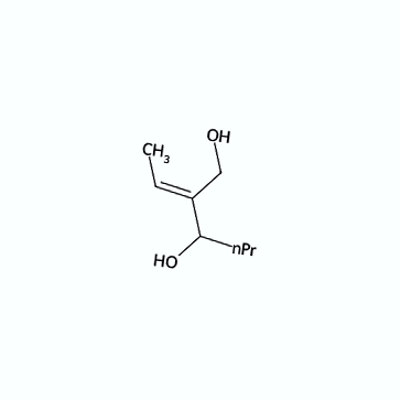 CC=C(CO)C(O)CCC